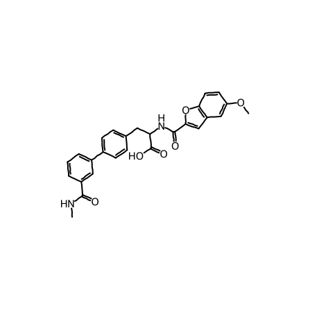 CNC(=O)c1cccc(-c2ccc(CC(NC(=O)c3cc4cc(OC)ccc4o3)C(=O)O)cc2)c1